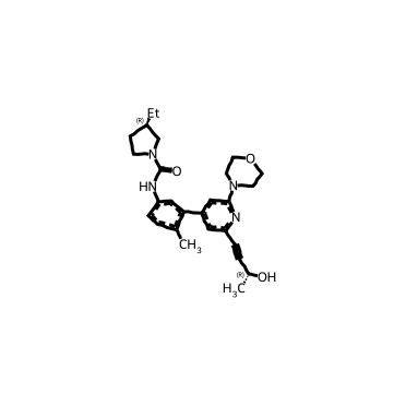 CC[C@@H]1CCN(C(=O)Nc2ccc(C)c(-c3cc(C#C[C@@H](C)O)nc(N4CCOCC4)c3)c2)C1